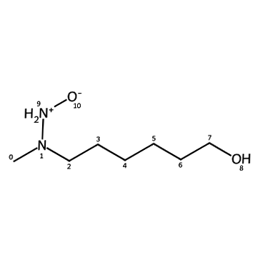 CN(CCCCCCO)[NH2+][O-]